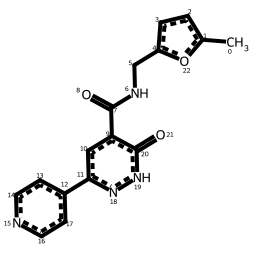 Cc1ccc(CNC(=O)c2cc(-c3ccncc3)n[nH]c2=O)o1